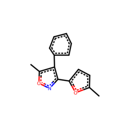 Cc1ccc(-c2noc(C)c2-c2ccccc2)o1